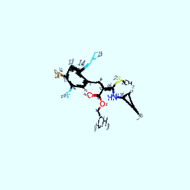 CCOC(=O)/C(Cc1cc(F)c(Br)cc1F)=C(\NC1CC1)SC